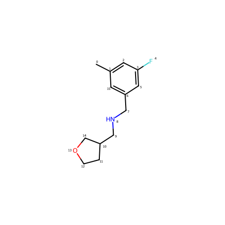 Cc1cc(F)cc(CNCC2CCOC2)c1